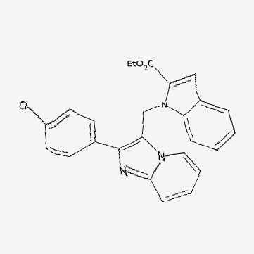 CCOC(=O)c1cc2ccccc2n1Cc1c(-c2ccc(Cl)cc2)nc2ccccn12